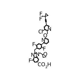 O=C(O)c1cc(F)c2nc(Cc3cc(F)c(-c4cccc(OCc5ncc(C#CC6(C(F)F)CC6)cc5Cl)n4)cc3F)n(CC3CCO3)c2c1